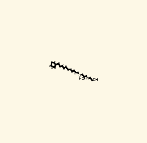 OCCNCC(O)COCCCCCCCCCCCC1CCCCC1